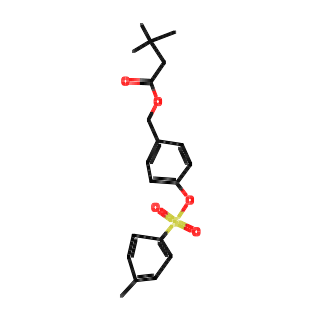 Cc1ccc(S(=O)(=O)Oc2ccc(COC(=O)CC(C)(C)C)cc2)cc1